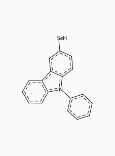 [SeH]c1ccc2c(c1)c1ccccc1n2-c1ccccc1